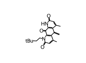 C=C1c2c(C)cc(=O)[nH]c2C(=O)c2c1c(C)cc(=O)n2CCC(C)(C)C